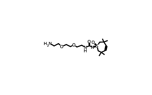 CC1(C)C#CC(C)(C)CS(=O)(=NC(=O)NCCOCCOCCN)C1